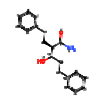 NC(=O)[C@H](CCc1ccccc1)C(O)CCc1ccccc1